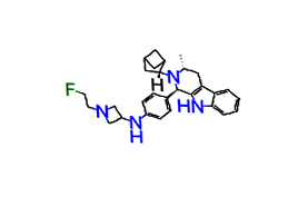 C[C@@H]1Cc2c([nH]c3ccccc23)[C@@H](c2ccc(NC3CN(CCF)C3)cc2)N1[C@@H]1CC2CC1C2